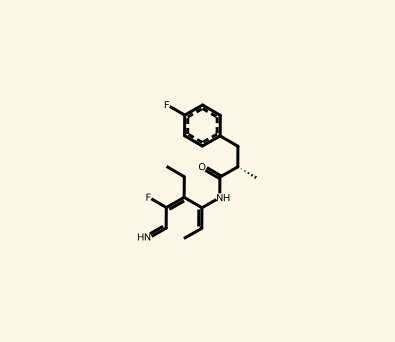 C/C=C(NC(=O)[C@@H](C)Cc1ccc(F)cc1)\C(CC)=C(\F)C=N